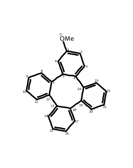 COc1ccc2c(c1)-c1ccccc1-c1ccccc1-c1ccccc1-2